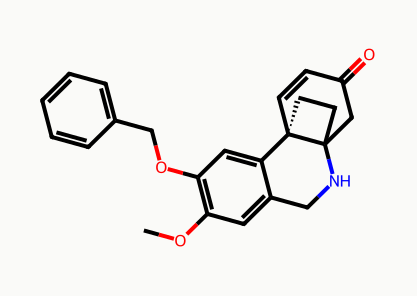 COc1cc2c(cc1OCc1ccccc1)[C@@]13C=CC(=O)CC1(CC3)NC2